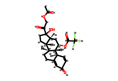 CC(=O)OCC(=O)[C@@]1(O)CC[C@H]2[C@@H]3CCC4=CC(=O)C=C[C@]4(C)[C@H]3[C@@H](OC(=O)C(F)(F)F)C[C@@]21C